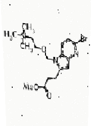 COC(=O)CCc1cc2nc(Br)ccc2n1COCC[Si](C)(C)C